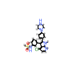 Cn1c(-c2ccc(N3CCNCC3)cc2)c(-c2cccc(NS(C)(=O)=O)c2)c2c(Cl)ccnc21